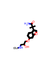 CC(C)(C)NCC(O)COc1ccc2c(C(C)(C)C(N)=O)coc2c1